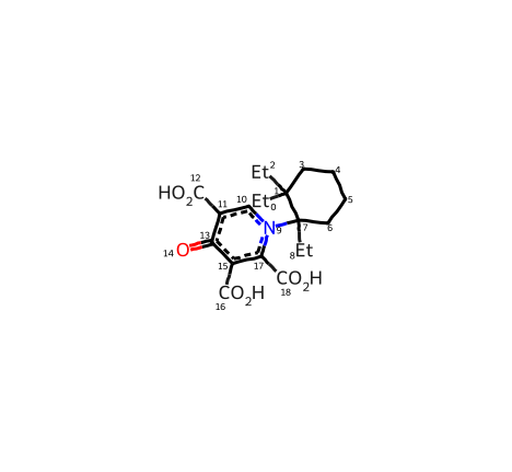 CCC1(CC)CCCCC1(CC)n1cc(C(=O)O)c(=O)c(C(=O)O)c1C(=O)O